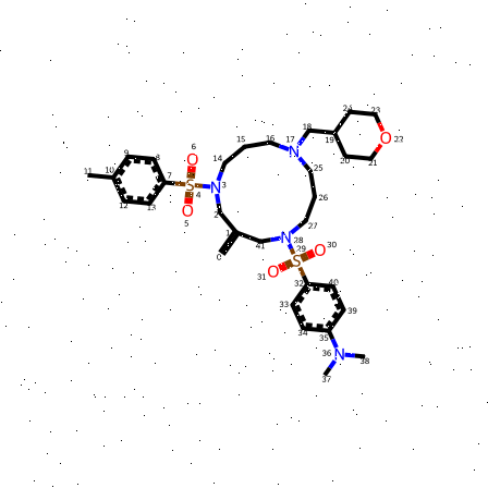 C=C1CN(S(=O)(=O)c2ccc(C)cc2)CCCN(CC2CCOCC2)CCCN(S(=O)(=O)c2ccc(N(C)C)cc2)C1